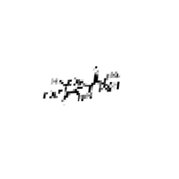 CCCC[N+](S)(CCCC)C(=S)c1nnc(C(=S)[N+](S)(CCCC)CCCC)s1